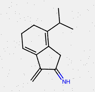 C=C1C(=N)CC2=C(C(C)C)CCC=C12